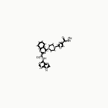 CC[C@H](Nc1ncnc2[nH]cnc12)c1nc(N2CCN(c3nc(C(=O)NO)co3)CC2)c2ccccc2n1